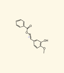 COc1ccc(/C=N/OC(=O)c2ccccc2)cc1O